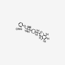 [2H]c1c([2H])c(C)c(NC(=O)C([2H])([2H])N2CCN(C([2H])([2H])C([2H])(O)COc3ccccc3OC)CC2)c(C)c1[2H]